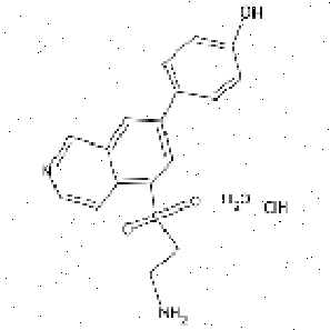 Cl.NCCS(=O)(=O)c1cc(-c2ccc(O)cc2)cc2cnccc12.O